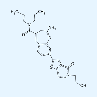 CCCN(CCC)C(=O)C1=Cc2ccc(-c3cc4c(=O)n(CCO)ccc4s3)cc2N=C(N)C1